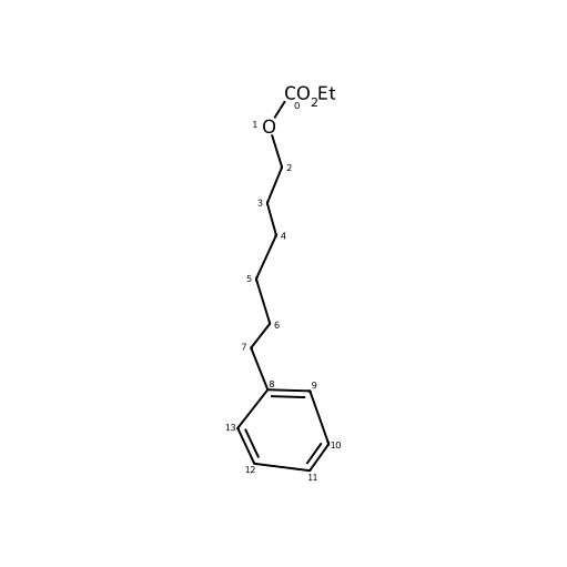 CCOC(=O)OCCCCCCc1ccccc1